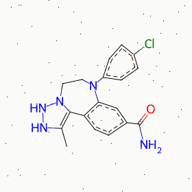 CC1=C2c3ccc(C(N)=O)cc3N(c3ccc(Cl)cc3)CCN2NN1